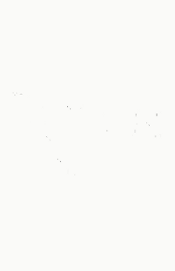 CCCN(CCC)S(=O)(=O)c1ccc(CC(=O)N2CCc3c(OC)ccc(N4CCN(C)CC4)c3C2)cc1